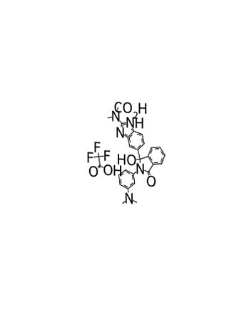 CN(C)c1cccc(N2C(=O)c3ccccc3C2(O)c2ccc3[nH]c(N(C)C(=O)O)nc3c2)c1.O=C(O)C(F)(F)F